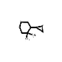 CC1(C)[CH]CCCC1C1CC1